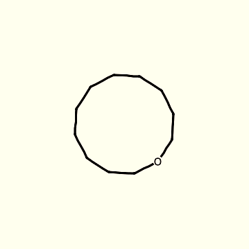 C1CCCCCOCCCCC1